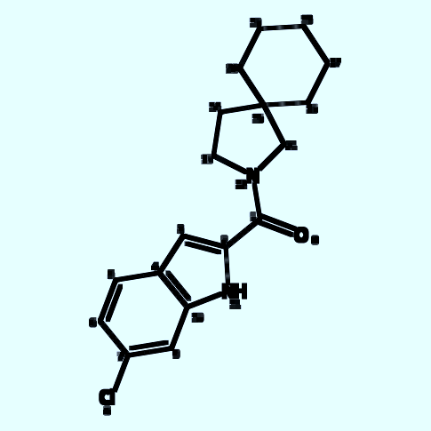 O=C(c1cc2ccc(Cl)cc2[nH]1)N1CCC2(CCCCC2)C1